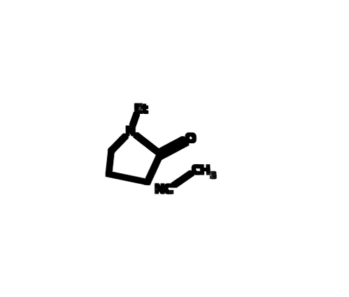 CC#N.CCN1CCCC1=O